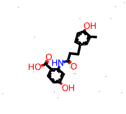 Cc1cc(CCC(=O)Nc2cc(O)ccc2C(=O)O)ccc1O